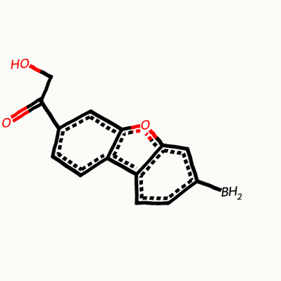 Bc1ccc2c(c1)oc1cc(C(=O)CO)ccc12